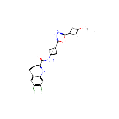 O=C(NC12CC(c3nnc(C4CC(OC(F)(F)F)C4)o3)(C1)C2)c1ccc2cc(Cl)c(F)cc2n1